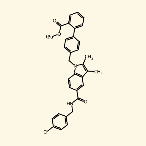 Cc1c(C)n(Cc2ccc(-c3ccccc3C(=O)OC(C)(C)C)cc2)c2ccc(C(=O)NCc3ccc(Cl)cc3)cc12